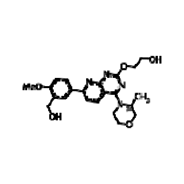 COc1ccc(-c2ccc3c(N4CCOC[C@@H]4C)nc(OCCO)nc3n2)cc1CO